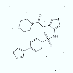 O=C(Cc1cscc1NS(=O)(=O)c1ccc(-c2ccsc2)cc1)N1CCOCC1